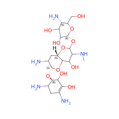 CNC1C(O[C@H]2OC(CO)[C@@H](N)C(O)C2O)O[C@H]2CC(N)[C@@H](O[C@@H]3C(N)CC(N)=C(O)C3O)OC2C1O